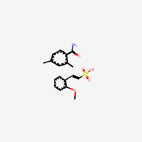 COc1ccccc1/C=C/S(=O)(=O)O.Cc1ccc(C(N)=O)c(C)c1